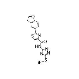 CC(C)Sc1n[nH]c(NC(=O)c2csc(-c3ccc4c(c3)CCO4)n2)n1